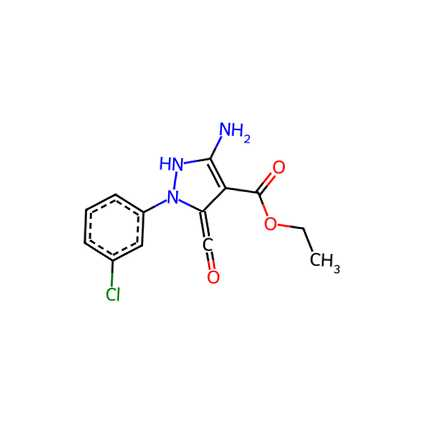 CCOC(=O)C1=C(N)NN(c2cccc(Cl)c2)C1=C=O